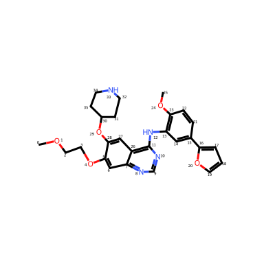 COCCOc1cc2ncnc(Nc3cc(-c4ccco4)ccc3OC)c2cc1OC1CCNCC1